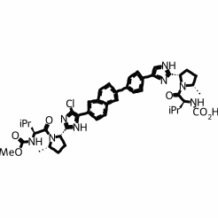 COC(=O)N[C@H](C(=O)N1[C@@H](C)CC[C@H]1c1nc(Cl)c(-c2ccc3cc(-c4ccc(-c5c[nH]c([C@@H]6CC[C@H](C)N6C(=O)[C@@H](NC(=O)O)C(C)C)n5)cc4)ccc3c2)[nH]1)C(C)C